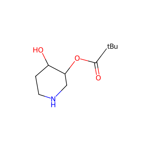 CC(C)(C)C(=O)OC1CNCCC1O